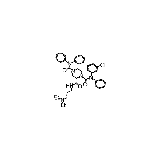 CCN(CC)CCCNC(=O)[C@@H]1CN(C(=O)N(c2ccccc2)c2ccccc2)CCN1C(=O)N(c1ccccc1)c1cccc(Cl)c1